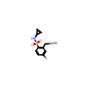 CC(=O)NCc1cc(F)ccc1S(=O)(=O)NC1CC1